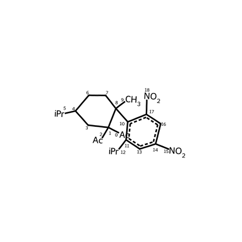 CC(=O)C1(C(C)=O)CC(C(C)C)CCC1(C)c1c(C(C)C)cc([N+](=O)[O-])cc1[N+](=O)[O-]